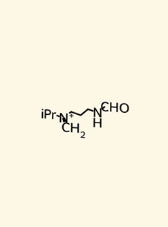 C=[N+](CCCNC=O)C(C)C